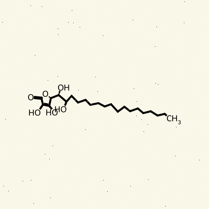 CCCCCCCCCCCCCCCCC(O)[C@H](O)[C@H]1OC(=O)C(O)=C1O